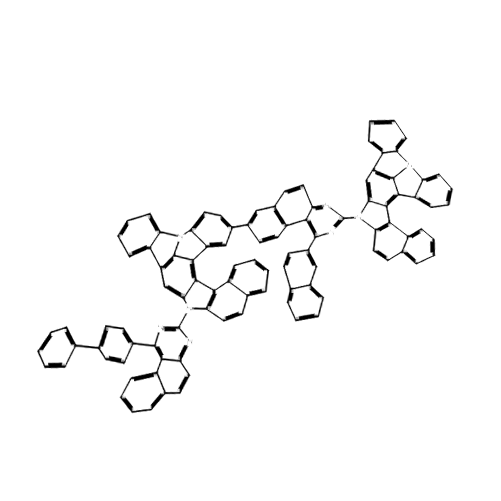 c1ccc(-c2ccc(-c3nc(-n4c5ccc6ccccc6c5c5c6c7cc(-c8ccc9c(ccc%10nc(-n%11c%12ccc%13ccccc%13c%12c%12c%13c%14ccccc%14n%14c%15ccccc%15c(cc%12%11)c%13%14)nc(-c%11ccc%12ccccc%12c%11)c%109)c8)ccc7n7c8ccccc8c(cc54)c67)nc4ccc5ccccc5c34)cc2)cc1